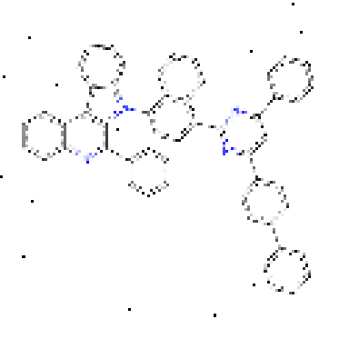 c1ccc(-c2ccc(-c3cc(-c4ccccc4)nc(-c4ccc(-n5c6ccccc6c6c7ccccc7nc(-c7ccccc7)c65)c5ccccc45)n3)cc2)cc1